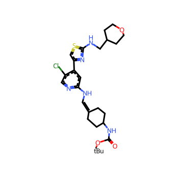 CC(C)(C)OC(=O)NC1CCC(=CNc2cc(-c3csc(NCC4CCOCC4)n3)c(Cl)cn2)CC1